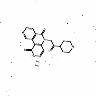 Cl.Cl.O=C(Cn1c(=O)c2ccncc2c2c(=O)[nH]ccc21)C1CCNCC1